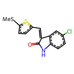 CSc1ccc(C=C2C(=O)Nc3ccc(Cl)cc32)s1